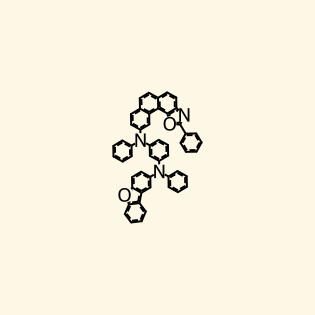 c1ccc(-c2nc3ccc4ccc5ccc(N(c6ccccc6)c6cccc(N(c7ccccc7)c7ccc8oc9ccccc9c8c7)c6)cc5c4c3o2)cc1